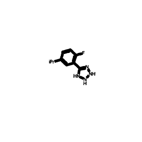 CC(C)c1ccc(F)c(C2=NNNN2)c1